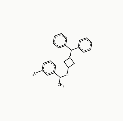 CC(OC1CN(C(c2ccccc2)c2ccccc2)C1)c1cccc(C(F)(F)F)c1